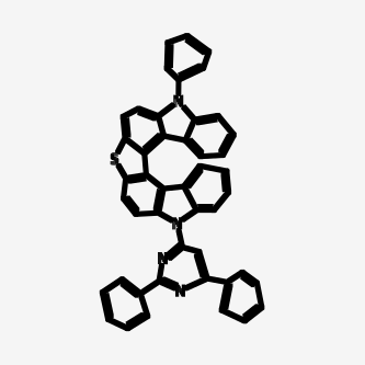 c1ccc(-c2cc(-n3c4ccccc4c4c5c(ccc43)sc3ccc4c(c6ccccc6n4-c4ccccc4)c35)nc(-c3ccccc3)n2)cc1